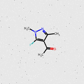 CC(=O)c1c(C)nn(C)c1F